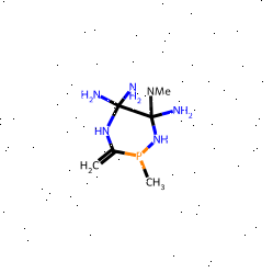 C=C1NC(N)(N)C(N)(NC)NP1C